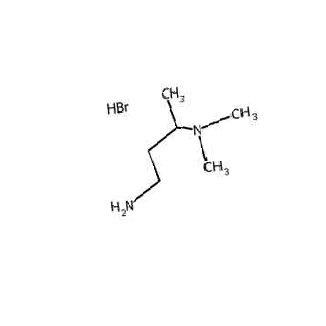 Br.CC(CCN)N(C)C